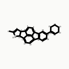 CC1=CC2c3ccc4c5c(ccc(c35)C2S1)-c1ccc(C2=CCCCC2)cc1-4